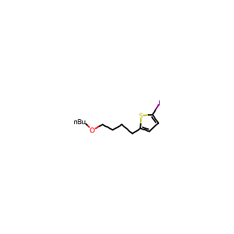 [CH2]CCCOCCCCc1ccc(I)s1